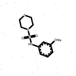 COc1cccc(NS(=O)(=O)N2CCSCC2)c1